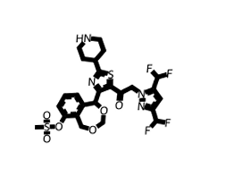 CS(=O)(=O)Oc1cccc2c1COCOC2c1nc(C2CCNCC2)sc1C(=O)Cn1nc(C(F)F)cc1C(F)F